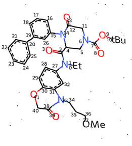 CCN(C(=O)C1CN(C(=O)OC(C)(C)C)CC(=O)N1c1cccc(-c2ccccc2)c1)c1ccc2c(c1)N(CCCOC)C(=O)CO2